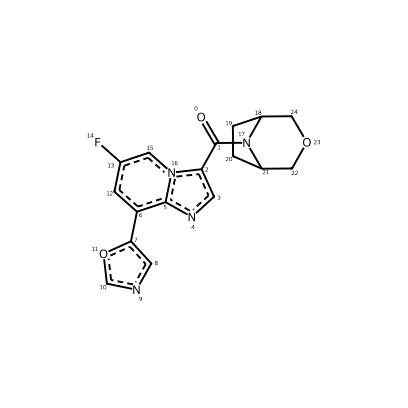 O=C(c1cnc2c(-c3cnco3)cc(F)cn12)N1C2CCC1COC2